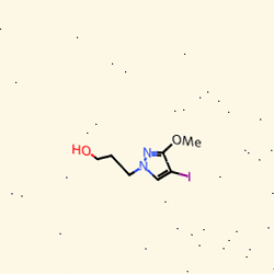 COc1nn(CCCO)cc1I